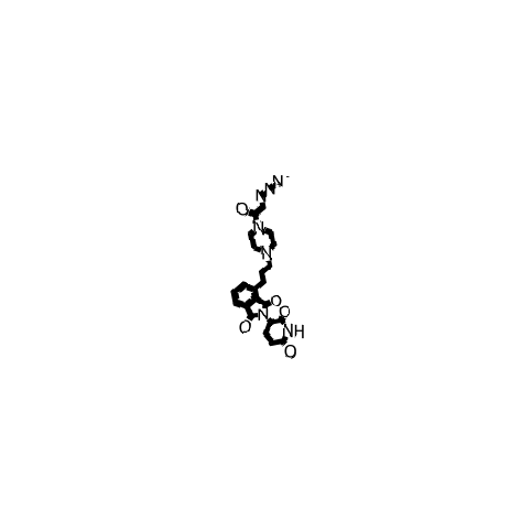 [N-]=[N+]=NCC(=O)N1CCN(CCCc2cccc3c2C(=O)N(C2CCC(=O)NC2=O)C3=O)CC1